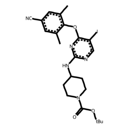 Cc1cc(C#N)cc(C)c1Oc1nc(NC2CCN(C(=O)OC(C)(C)C)CC2)ncc1I